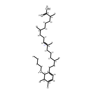 CCCCOC1C(CCC(C)CCC/C(C)=C/CCC(C)CCCC(C)C(=O)O)=CC=C(C)C1C